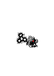 CCC(C)C(=O)OC1C2CC3CC1CC(C2)C3C(=O)OC(C)c1ccc2c3ccccc3c3ccccc3c2c1